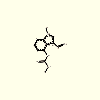 COC(=O)Oc1cccc2c1c(C=O)cn2C